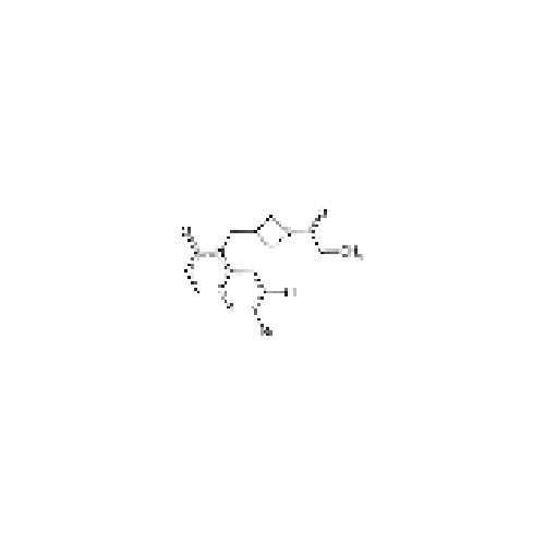 C=CC(=O)N1CC(Cn2c(=O)cnc3cc(Br)c(Cl)cc32)C1